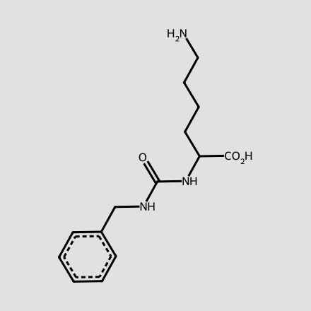 NCCCCC(NC(=O)NCc1ccccc1)C(=O)O